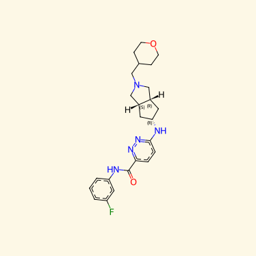 O=C(Nc1cccc(F)c1)c1ccc(N[C@@H]2C[C@@H]3CN(CC4CCOCC4)C[C@@H]3C2)nn1